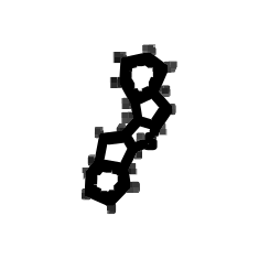 C1=C2SC3C(=Cc4ccccc43)C2c2ccccc21